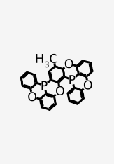 CC1C=C2C(=C3C1Oc1cccc4c1P3c1ccccc1O4)Oc1cccc3c1P2c1ccccc1O3